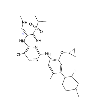 CN/C=C(/Nc1nc(Nc2cc(C)c(C3CCN(C)CC3F)cc2OC2CC2)ncc1Cl)C(=N)S(=O)(=O)C(C)C